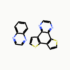 c1ccc2nccnc2c1.c1cnc2c(n1)c1ccsc1c1ccsc12